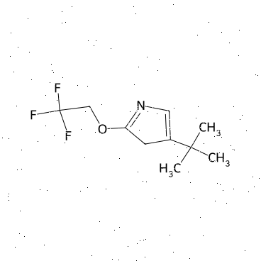 CC(C)(C)C1=CN=C(OCC(F)(F)F)C1